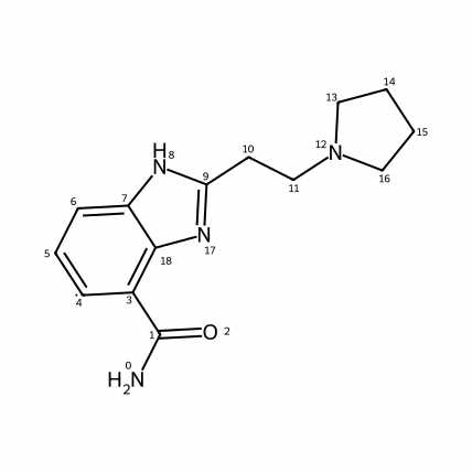 NC(=O)c1[c]ccc2[nH]c(CCN3CCCC3)nc12